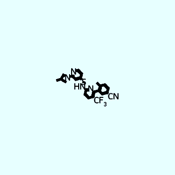 Cc1ccc(C#N)cc1-c1nc(NSc2ccnc(N3CC(C)C3)c2)ccc1C(F)(F)F